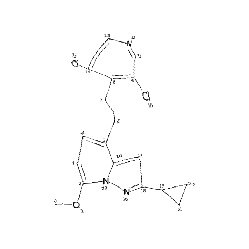 COc1ccc(CCc2c(Cl)cncc2Cl)c2cc(C3CC3)nn12